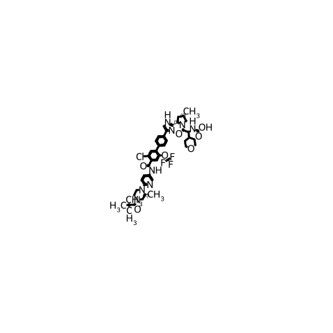 C[C@H]1C[C@@H](c2nc(-c3ccc(-c4cc(Cl)c(C(=O)Nc5ccc(N6CCN(C(=O)C(C)(C)C)C[C@H]6C)nc5)cc4OC(F)(F)F)cc3)c[nH]2)N(C(=O)C(NC(=O)O)C2CCOCC2)C1